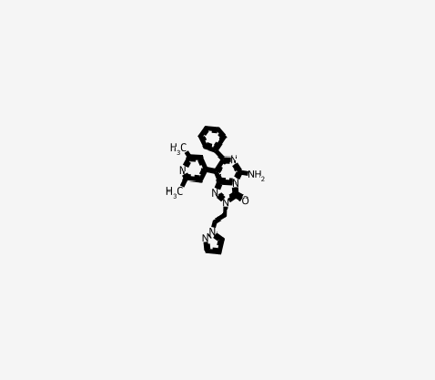 Cc1cc(-c2c(-c3ccccc3)nc(N)n3c(=O)n(CCn4cccn4)nc23)cc(C)n1